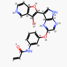 C=CC(=O)Nc1cccc(Oc2cnc3[nH]cc(-c4oc5ccncc5c4Br)c3n2)c1